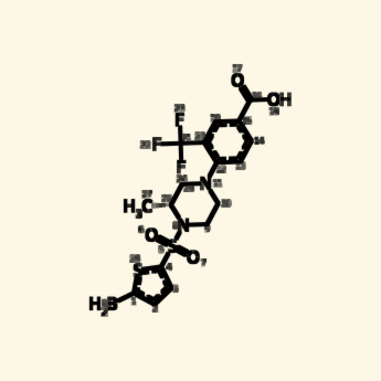 Bc1ccc(S(=O)(=O)N2CCN(c3ccc(C(=O)O)cc3C(F)(F)F)C[C@H]2C)s1